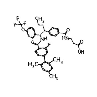 CCCC(c1ccc(C(=O)NCCC(=O)O)cc1)C(NC(=O)c1ccc(-c2c(C)cc(C)cc2C)cc1F)c1ccc(OC(F)(F)F)cc1